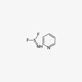 N=S(F)F.c1ccncc1